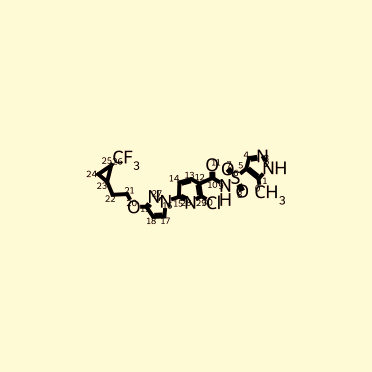 Cc1[nH]ncc1S(=O)(=O)NC(=O)c1ccc(-n2ccc(OCCC3CC3C(F)(F)F)n2)nc1Cl